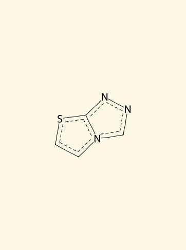 c1cn2cnnc2s1